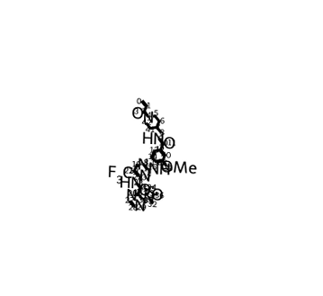 C=CC(=O)N1CCC(CNC(=O)c2ccc(Nc3ncc(C(F)(F)F)c(NCc4nccnc4N(C)S(C)(=O)=O)n3)c(OC)c2)CC1